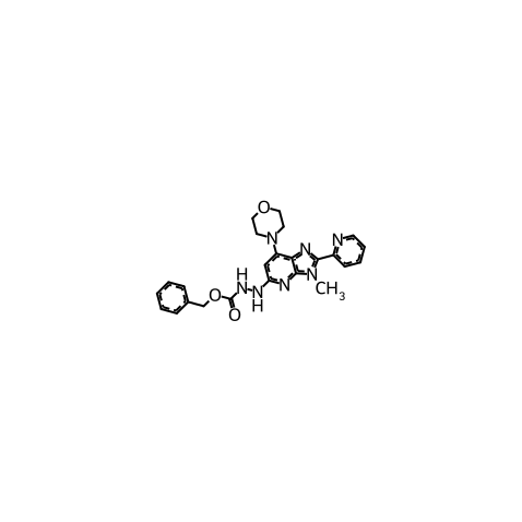 Cn1c(-c2ccccn2)nc2c(N3CCOCC3)cc(NNC(=O)OCc3ccccc3)nc21